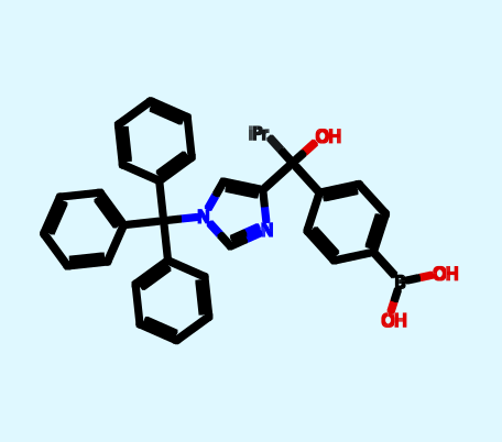 CC(C)C(O)(c1ccc(B(O)O)cc1)c1cn(C(c2ccccc2)(c2ccccc2)c2ccccc2)cn1